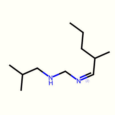 CCCC(C)/C=N\CNCC(C)C